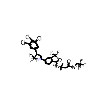 CC(C)(CC(=O)NCC(F)(F)F)NC(=O)c1ccc(/C=C/C(c2cc(Cl)c(Cl)c(Cl)c2)C(F)(F)F)cc1C(F)(F)F